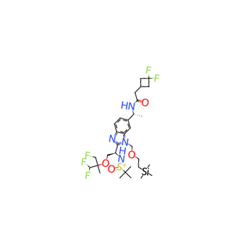 C[C@@H](NC(=O)CC1CC(F)(F)C1)c1ccc2nc([C@H](COC(C)(CF)C(F)F)N[S@+]([O-])C(C)(C)C)n(COCC[Si](C)(C)C)c2c1